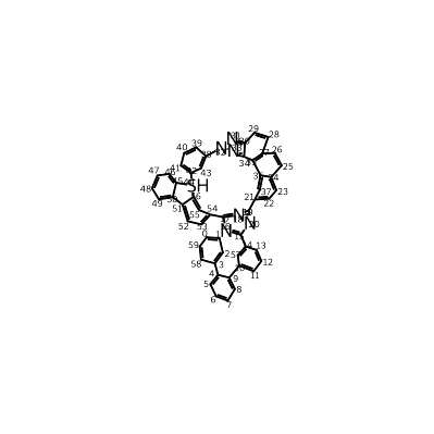 c1ccc(-c2ccccc2-c2cccc(-c3nc4nc(n3)-c3ccc5ccc6ccc7nn(nc7c6c5c3)-c3cccc(c3)[SH]3c5ccccc5-c5ccc-4cc53)c2)cc1